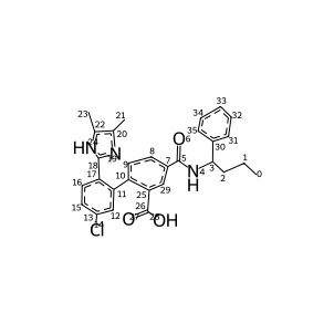 CCCC(NC(=O)c1ccc(-c2cc(Cl)ccc2-c2nc(C)c(C)[nH]2)c(C(=O)O)c1)c1ccccc1